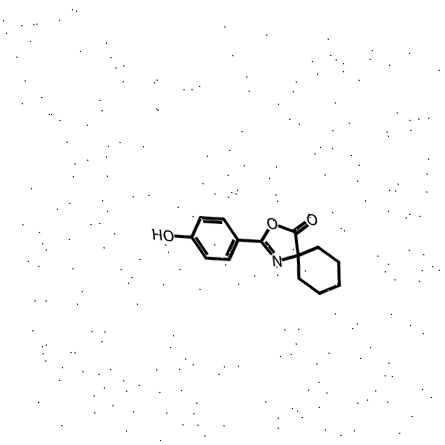 O=C1OC(c2ccc(O)cc2)=NC12CCCCC2